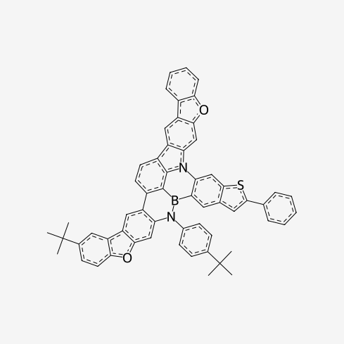 CC(C)(C)c1ccc(N2B3c4cc5cc(-c6ccccc6)sc5cc4-n4c5cc6oc7ccccc7c6cc5c5ccc(c3c54)-c3cc4c(cc32)oc2ccc(C(C)(C)C)cc24)cc1